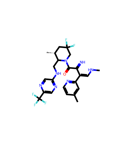 CN/C=C(\C(=N)C(=O)N1CC(F)(F)C[C@@H](C)C1CNc1cnc(C(F)(F)F)cn1)c1cc(C)ccn1